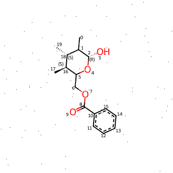 CC1[C@H](O)OC(COC(=O)c2ccccc2)[C@@H](C)[C@@H]1C